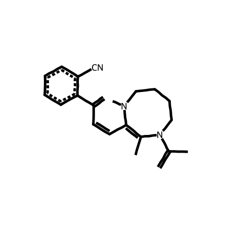 C=C(/C=C\C1=C(/C)N(C(=C)C)CCCCN1C)c1ccccc1C#N